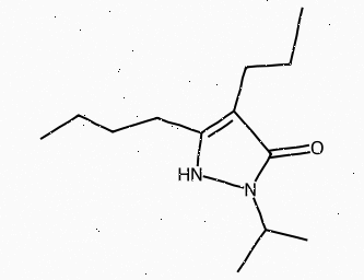 CCCCc1[nH]n(C(C)C)c(=O)c1CCC